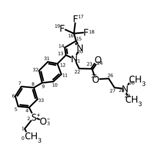 CC[S+]([O-])c1cccc(-c2ccc(-c3cc(C(F)(F)F)nn3CC(=O)OCCN(C)C)cc2)c1